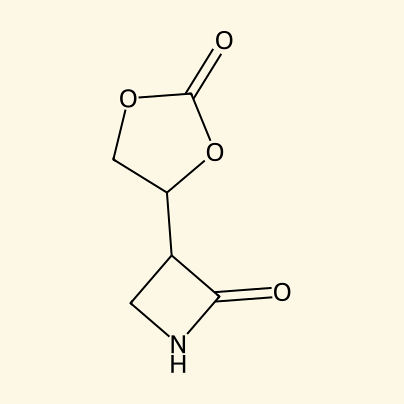 O=C1OCC(C2CNC2=O)O1